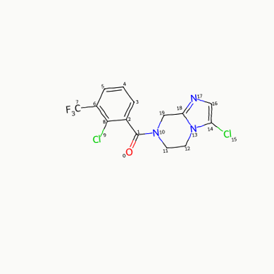 O=C(c1cccc(C(F)(F)F)c1Cl)N1CCn2c(Cl)cnc2C1